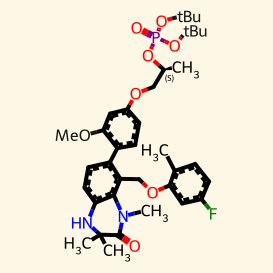 COc1cc(OC[C@H](C)OP(=O)(OC(C)(C)C)OC(C)(C)C)ccc1-c1ccc2c(c1COc1cc(F)ccc1C)N(C)C(=O)C(C)(C)N2